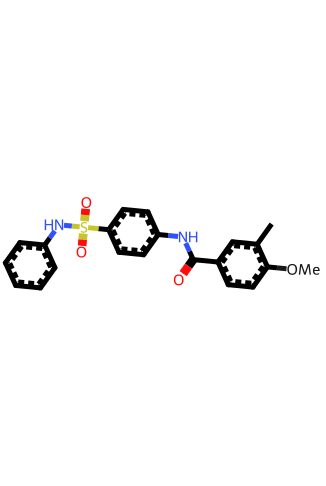 COc1ccc(C(=O)Nc2ccc(S(=O)(=O)Nc3ccccc3)cc2)cc1C